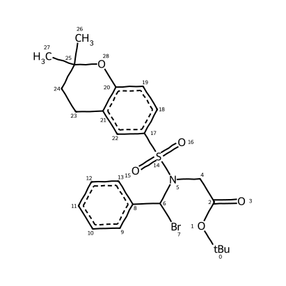 CC(C)(C)OC(=O)CN(C(Br)c1ccccc1)S(=O)(=O)c1ccc2c(c1)CCC(C)(C)O2